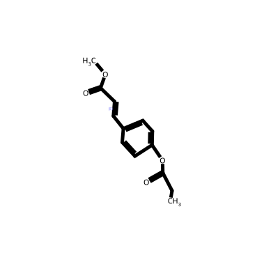 CCC(=O)Oc1ccc(/C=C/C(=O)OC)cc1